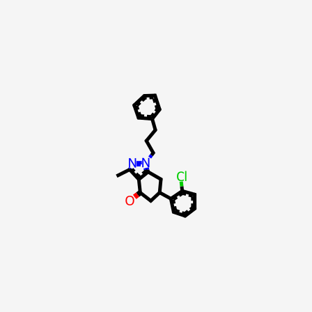 Cc1nn(CCCc2ccccc2)c2c1C(=O)CC(c1ccccc1Cl)C2